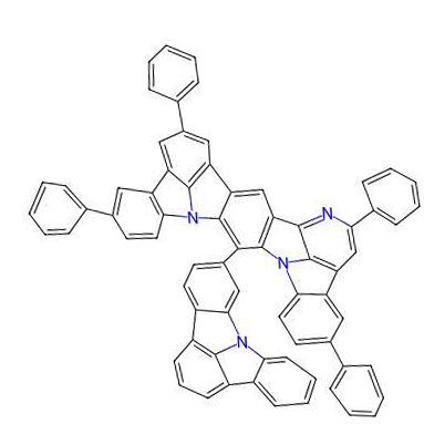 c1ccc(-c2ccc3c(c2)c2cc(-c4ccccc4)cc4c5cc6c7nc(-c8ccccc8)cc8c9cc(-c%10ccccc%10)ccc9n(c6c(-c6ccc9c%10cccc%11c%12ccccc%12n(c9c6)c%11%10)c5n3c24)c87)cc1